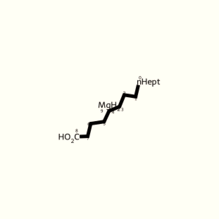 CCCCCCCCCCCCCCC(=O)O.[MgH2]